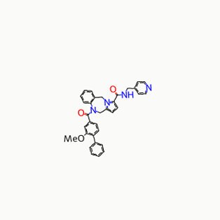 COc1cc(C(=O)N2Cc3ccc(C(=O)NCc4ccncc4)n3Cc3ccccc32)ccc1-c1ccccc1